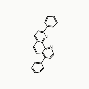 c1ccc(-c2ccc3ccc4c(-c5ccccc5)ccnc4c3n2)cc1